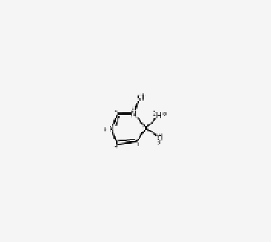 [2H]C1(Cl)C=CN=CN1Cl